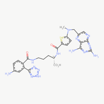 CN(Cc1cnc2nc(N)nc(N)c2n1)c1ccc(C(=O)N[C@@H](CCCNC(=O)c2ccc(N)cc2-c2nn[nH]n2)C(=O)O)s1